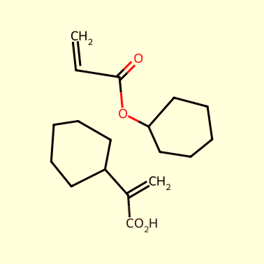 C=C(C(=O)O)C1CCCCC1.C=CC(=O)OC1CCCCC1